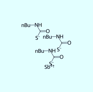 CCCCNC(=O)[S-].CCCCNC(=O)[S-].CCCCNC(=O)[S-].[Sb+3]